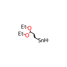 CCOC(/C=[CH]/[SnH])OCC